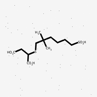 CC(C)(CCCCS(=O)(=O)O)CSC(CC(=O)O)C(=O)O